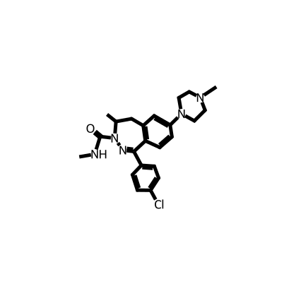 CNC(=O)N1N=C(c2ccc(Cl)cc2)c2ccc(N3CCN(C)CC3)cc2CC1C